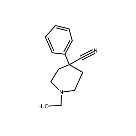 CCN1CCC(C#N)(c2ccccc2)CC1